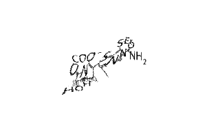 CCSc1c2sc(C3=C(C(=O)[O-])N4C(=O)[C@H]([C@@H](C)O)[C@H]4[C@H]3C)c(C)[n+]2cn1C(N)=O